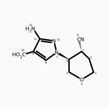 N#C[C@@H]1CCOC[C@H]1n1cc(C(=O)O)c(N)n1